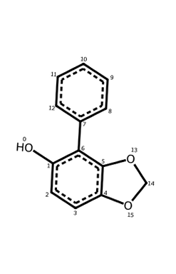 Oc1ccc2c(c1-c1ccccc1)OCO2